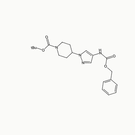 CC(C)(C)OC(=O)N1CCC(n2cc(NC(=O)OCc3ccccc3)cn2)CC1